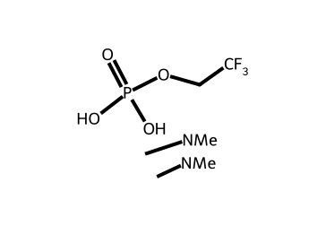 CNC.CNC.O=P(O)(O)OCC(F)(F)F